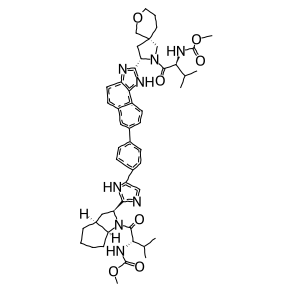 COC(=O)N[C@H](C(=O)N1C[C@]2(CCCOC2)C[C@H]1c1nc2ccc3cc(-c4ccc(-c5cnc([C@@H]6C[C@@H]7CCCC[C@@H]7N6C(=O)[C@@H](NC(=O)OC)C(C)C)[nH]5)cc4)ccc3c2[nH]1)C(C)C